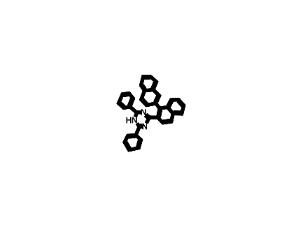 c1ccc(C2=NC(c3ccc4ccccc4c3-c3ccc4ccccc4c3)=NC(c3ccccc3)N2)cc1